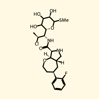 CSC1O[C@H]([C@H](NC(=O)[C@H]2NC[C@@H]3C[C@@H](c4ccccc4F)CCO[C@H]32)[C@H](C)Cl)C(O)C(O)[C@H]1O